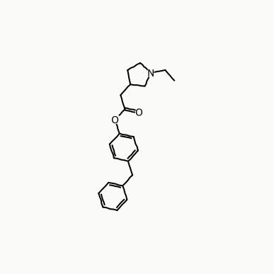 CCN1CCC(CC(=O)Oc2ccc(Cc3ccccc3)cc2)C1